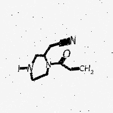 C=CC(=O)N1CCN(I)CC1CC#N